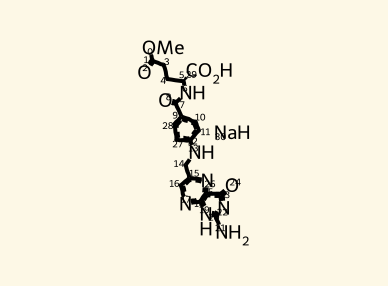 COC(=O)CC[C@H](NC(=O)c1ccc(NCc2cnc3[nH]c(N)nc(=O)c3n2)cc1)C(=O)O.[NaH]